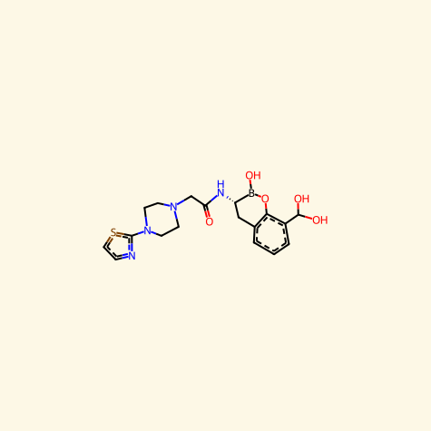 O=C(CN1CCN(c2nccs2)CC1)N[C@H]1Cc2cccc(C(O)O)c2OB1O